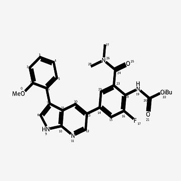 COc1ccccc1-c1c[nH]c2ncc(-c3cc(F)c(NC(=O)OCC(C)C)c(C(=O)N(C)C)c3)cc12